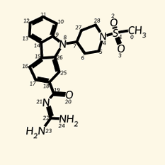 CS(=O)(=O)N1CCC(n2c3ccccc3c3ccc(C(=O)N=C(N)N)cc32)CC1